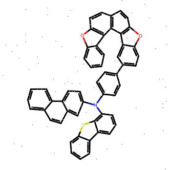 c1ccc2c(c1)ccc1cc(N(c3ccc(-c4ccc5oc6ccc7ccc8oc9ccccc9c8c7c6c5c4)cc3)c3cccc4c3sc3ccccc34)ccc12